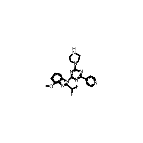 COc1cccc2c1nc(C(F)F)n2-c1nc(-c2ccncc2)nc(N2CCNCC2)n1